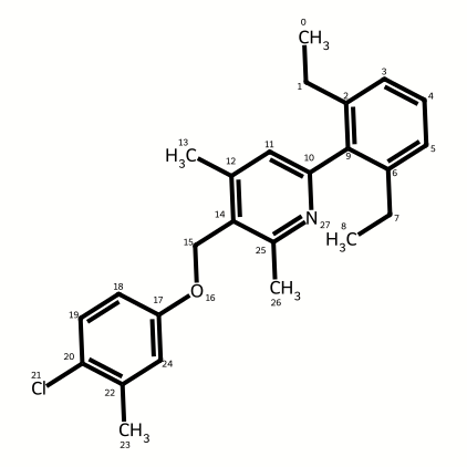 CCc1cccc(CC)c1-c1cc(C)c(COc2ccc(Cl)c(C)c2)c(C)n1